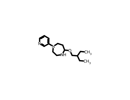 CCC(CC)COC1CCN(c2cccnc2)CCN1